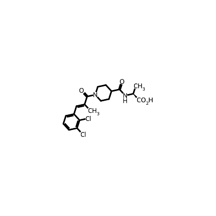 C/C(=C\c1cccc(Cl)c1Cl)C(=O)N1CCC(C(=O)N[C@@H](C)C(=O)O)CC1